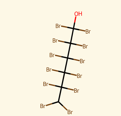 OC(Br)(Br)C(Br)(Br)C(Br)(Br)C(Br)(Br)C(Br)(Br)C(Br)Br